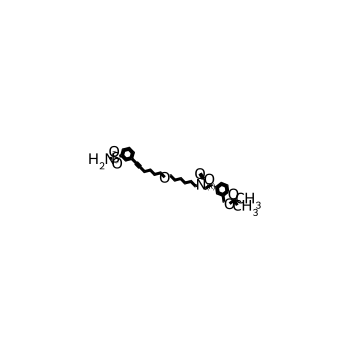 CC1(C)OCc2cc([C@@H]3CN(CCCCCCOCCCCC#Cc4cccc(S(N)(=O)=O)c4)C(=O)O3)ccc2O1